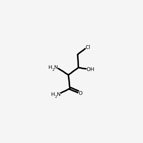 NC(=O)C(N)C(O)CCl